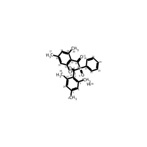 Cc1cc(C)c(C(=O)P(=O)(C(=O)c2c(C)cc(C)cc2C)c2ccccc2)c(C)c1.I